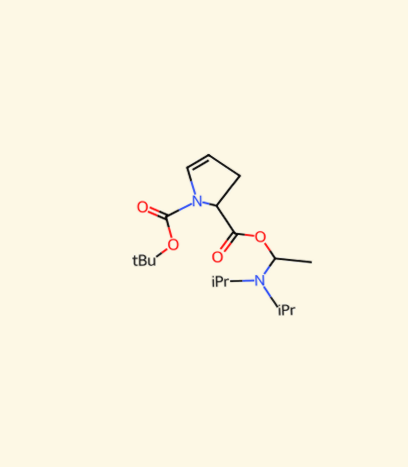 CC(C)N(C(C)C)C(C)OC(=O)C1CC=CN1C(=O)OC(C)(C)C